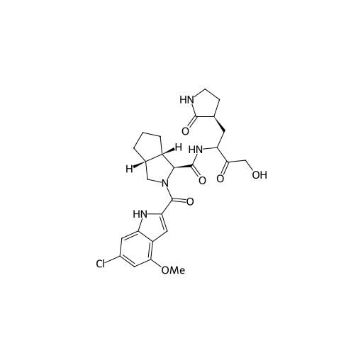 COc1cc(Cl)cc2[nH]c(C(=O)N3C[C@@H]4CCC[C@@H]4[C@H]3C(=O)NC(C[C@@H]3CCNC3=O)C(=O)CO)cc12